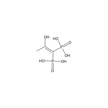 CC(O)=C(P(=O)(O)O)P(=O)(O)O